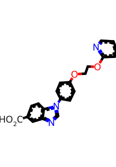 O=C(O)c1ccc2c(c1)ncn2-c1ccc(OCCOc2ccccn2)cc1